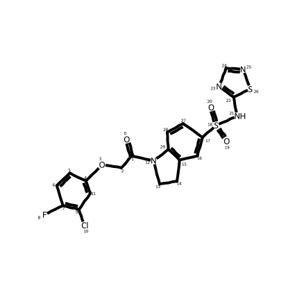 O=C(COc1ccc(F)c(Cl)c1)N1CCc2cc(S(=O)(=O)Nc3ncns3)ccc21